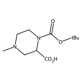 CN1CCN(C(=O)OC(C)(C)C)C(C(=O)O)C1